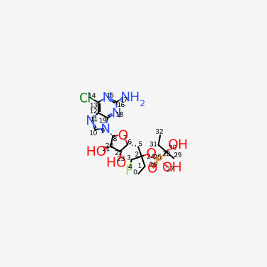 CCC(CF)(C[C@H]1O[C@@H](n2cnc3c(Cl)nc(N)nc32)[C@H](O)[C@@H]1O)OP(=O)(O)C(C)(O)CC